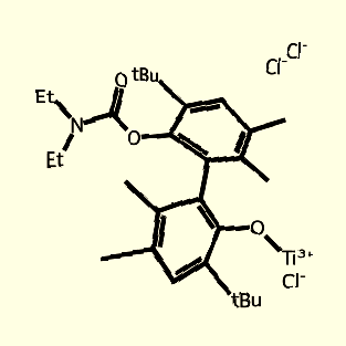 CCN(CC)C(=O)Oc1c(C(C)(C)C)cc(C)c(C)c1-c1c(C)c(C)cc(C(C)(C)C)c1[O][Ti+3].[Cl-].[Cl-].[Cl-]